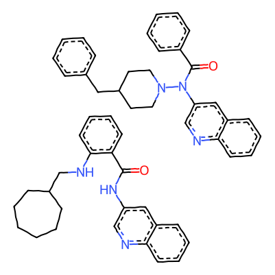 O=C(Nc1cnc2ccccc2c1)c1ccccc1NCC1CCCCCC1.O=C(c1ccccc1)N(c1cnc2ccccc2c1)N1CCC(Cc2ccccc2)CC1